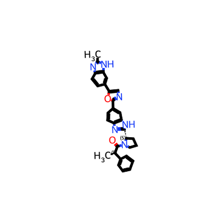 Cc1nc2ccc(-c3cnc(-c4ccc5nc([C@@H]6CCCN6C(=O)[C@H](C)c6ccccc6)[nH]c5c4)o3)cc2[nH]1